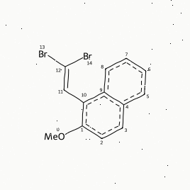 COc1ccc2ccccc2c1C=C(Br)Br